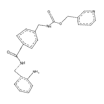 Nc1ccccc1CNC(=O)c1ccc(CNC(=O)OCc2cccnc2)cc1